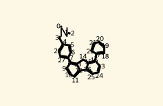 CN(C)Cc1ccc(-c2cccc3c2Cc2c(-c4ccccc4)cccc2-3)cc1